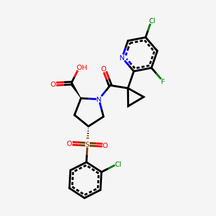 O=C(O)[C@@H]1C[C@@H](S(=O)(=O)c2ccccc2Cl)CN1C(=O)C1(c2ncc(Cl)cc2F)CC1